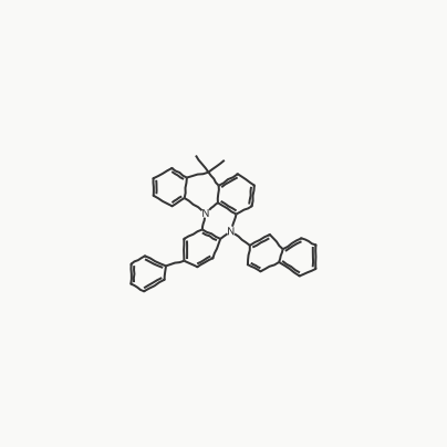 CC1(C)c2ccccc2N2c3cc(-c4ccccc4)ccc3N(c3ccc4ccccc4c3)c3cccc1c32